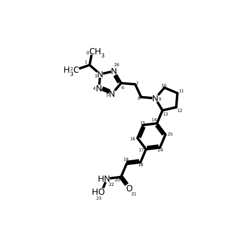 CC(C)n1nnc(CCN2CCCC2c2ccc(/C=C/C(=O)NO)cc2)n1